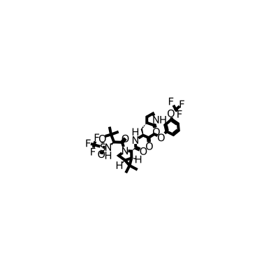 CC(C)(C)[C@H](NS(=O)(=O)C(F)(F)F)C(=O)N1C[C@H]2[C@@H]([C@H]1C(=O)N[C@@H](C[C@@H]1CCNC1=O)C(=O)COc1cccc(OC(F)(F)F)c1)C2(C)C